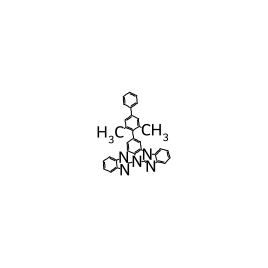 Cc1cc(-c2ccccc2)cc(C)c1-c1cc2c3c(c1)n1c4ccccc4nc1n3c1nc3ccccc3n21